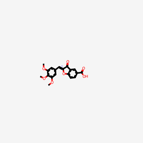 COc1cc(/C=C2\Oc3ccc(C(=O)O)cc3C2=O)cc(OC)c1OC